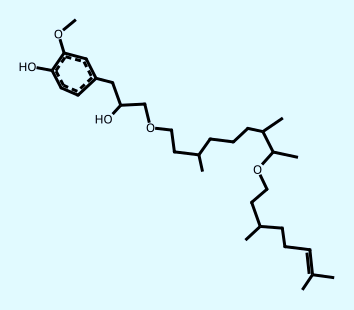 COc1cc(CC(O)COCCC(C)CCCC(C)C(C)OCCC(C)CCC=C(C)C)ccc1O